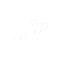 COC(=O)CCCP1(=O)Oc2ccccc2-c2ccccc21